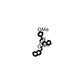 COc1ccc(-c2cnc(NC(=O)Cc3ccc4ccccc4c3)c(-c3ccccc3)n2)cc1